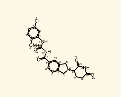 COc1ccc(Cl)cc1NC(=O)NC(=O)c1ccc2c(c1)CN(C1CCC(=O)NC1=O)C2